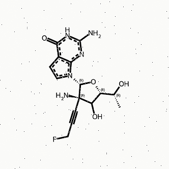 C[C@@H](O)[C@H]1O[C@@H](n2ccc3c(=O)[nH]c(N)nc32)[C@@](N)(C#CCF)C1O